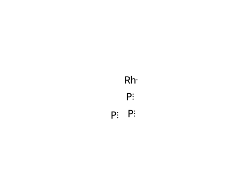 [P].[P].[P].[Rh]